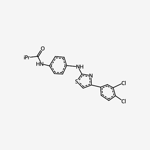 CC(C)C(=O)Nc1ccc(Nc2nc(-c3ccc(Cl)c(Cl)c3)cs2)cc1